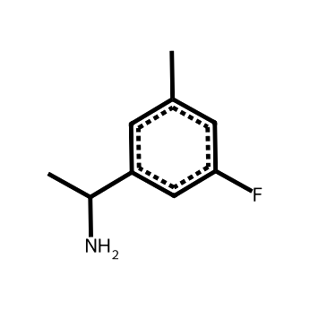 Cc1cc(F)cc(C(C)N)c1